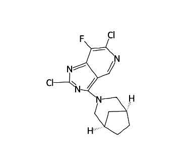 Fc1c(Cl)ncc2c(N3C[C@@H]4CC[C@@H](C4)C3)nc(Cl)nc12